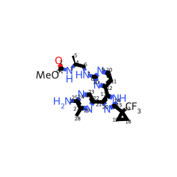 COC(=O)N[C@@H](C)CNc1nccc(-c2[nH]c(C3(C(F)(F)F)CC3)nc2-c2cnc(N)c(C)n2)n1